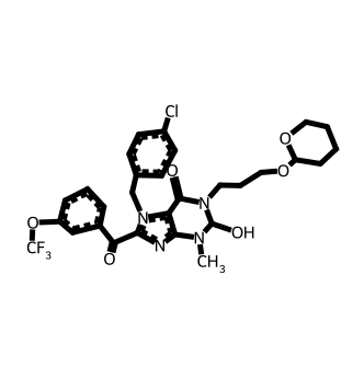 CN1c2nc(C(=O)c3cccc(OC(F)(F)F)c3)n(Cc3ccc(Cl)cc3)c2C(=O)N(CCCOC2CCCCO2)C1O